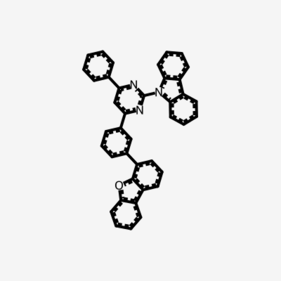 c1ccc(-c2cc(-c3cccc(-c4cccc5c4oc4ccccc45)c3)nc(-n3c4ccccc4c4ccccc43)n2)cc1